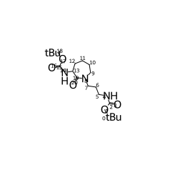 CC(C)(C)OC(=O)NCCCN1CCCCC(NC(=O)OC(C)(C)C)C1=O